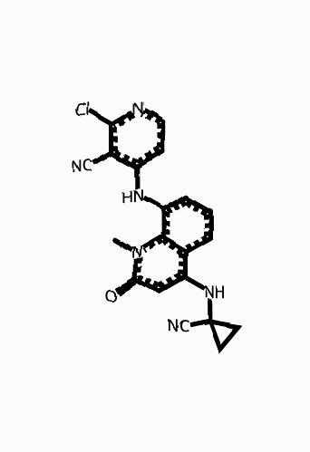 Cn1c(=O)cc(NC2(C#N)CC2)c2cccc(Nc3ccnc(Cl)c3C#N)c21